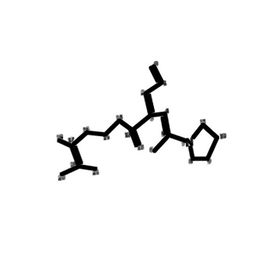 C=C/C=C(\C=C(/C)N1CCCC1)C(=C)CCCC(C)=C(C)C